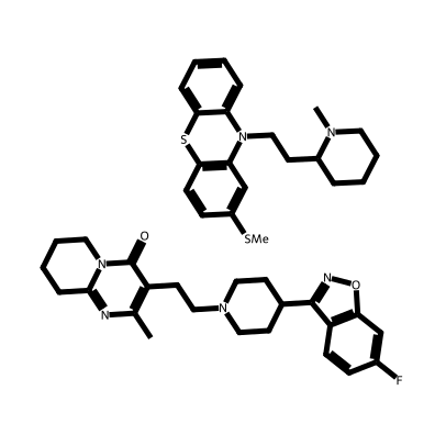 CSc1ccc2c(c1)N(CCC1CCCCN1C)c1ccccc1S2.Cc1nc2n(c(=O)c1CCN1CCC(c3noc4cc(F)ccc34)CC1)CCCC2